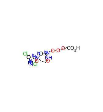 CC1CCCC(n2cnc(-c3cc(Cl)ccc3-n3cc(Cl)nn3)cc2=O)c2cc(ccn2)-c2nn(CCOCCOCCOCCC(=O)O)cc2NC1=O